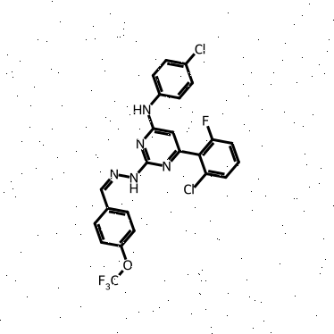 Fc1cccc(Cl)c1-c1cc(Nc2ccc(Cl)cc2)nc(N/N=C\c2ccc(OC(F)(F)F)cc2)n1